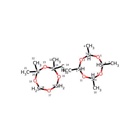 C[SiH]1O[SiH](C)O[SiH](C)O[SiH](C)O1.C[Si]1(C)O[SiH2]O[SiH2]O[Si](C)(C)O1